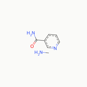 CN.NC(=O)c1cccnc1